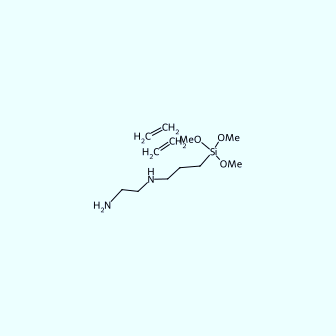 C=C.C=C.CO[Si](CCCNCCN)(OC)OC